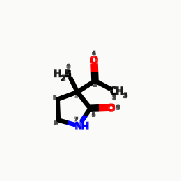 BC1(C(C)=O)CCNC1=O